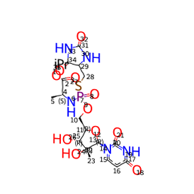 CC(C)OC(=O)[C@H](C)NP(=O)(OC[C@H]1O[C@@H](n2ccc(=O)[nH]c2=O)[C@](C)(O)[C@@H]1O)SCC1NC(=O)NC1=O